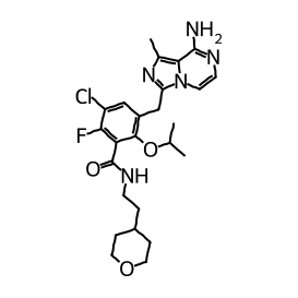 Cc1nc(Cc2cc(Cl)c(F)c(C(=O)NCCC3CCOCC3)c2OC(C)C)n2ccnc(N)c12